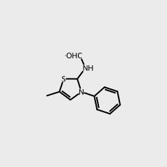 CC1=CN(c2ccccc2)C(N[C]=O)S1